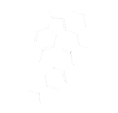 CC(C(=O)Nc1ccc(N(C)C)cc1)C1CNCc2c1c1cc(F)ccc1n2C